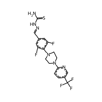 NC(=S)NN=Cc1cc(F)c(N2CCN(c3ccc(C(F)(F)F)cn3)CC2)c(F)c1